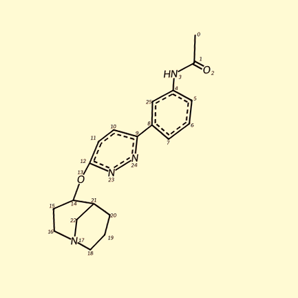 CC(=O)Nc1cccc(-c2ccc(OC3CCN4CCCC3C4)nn2)c1